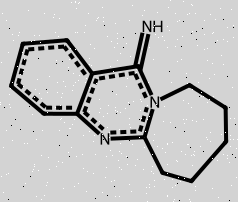 N=c1c2ccccc2nc2n1CCCCC2